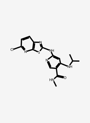 CNC(=O)c1cnc(Nc2nc3ccc(Cl)nc3s2)cc1NC(C)C